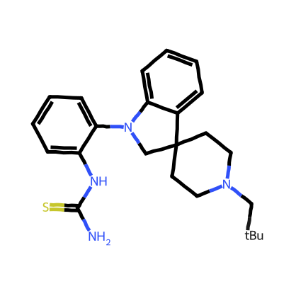 CC(C)(C)CN1CCC2(CC1)CN(c1ccccc1NC(N)=S)c1ccccc12